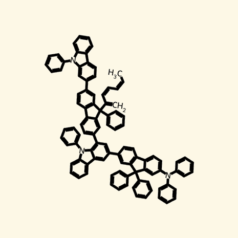 C=C(/C=C\C=C/C)C1(c2ccccc2)c2cc(-c3ccc4c5ccccc5n(-c5ccccc5)c4c3)ccc2-c2ccc(-c3cc(-c4ccc5c(c4)C(c4ccccc4)(c4ccccc4)c4cc(N(c6ccccc6)c6ccccc6)ccc4-5)cc4c5ccccc5n(-c5ccccc5)c34)cc21